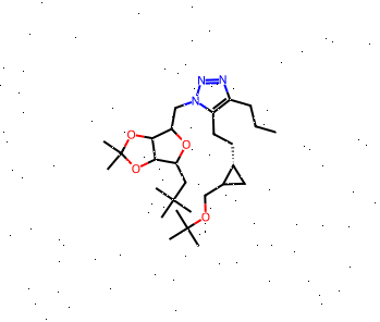 CCCc1nnn(CC2OC(CC(C)(C)C)C3OC(C)(C)OC23)c1CC[C@@H]1CC1COC(C)(C)C